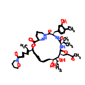 CC(=O)CC[C@H]1C(=O)N[C@@H](C(C)C)C(=O)N[C@@H](Cc2ccc(C)c(O)c2)C(=O)N2CCCC(N2)C(=O)O[C@H](/C(C)=C/C=C/C(=O)N2CCCCO2)C/C=C/C=C/[C@H](O)[C@H](C)[C@H]1O